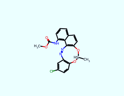 COC(=O)Nc1cccc2ccc3c(c12)N=Nc1cc(Cl)ccc1O[SiH](C)O3